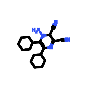 N#CC1=NC(C2CCCCC2)=C(C2CCCCC2)N(N)C1C#N